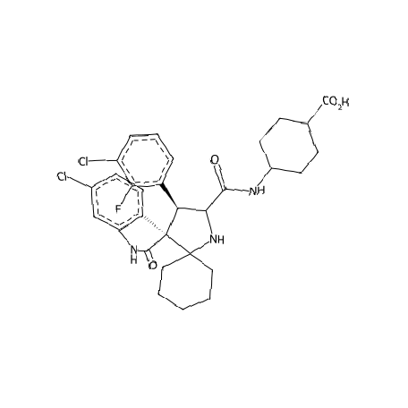 O=C(O)C1CCC(NC(=O)C2NC3(CCCCC3)[C@@]3(C(=O)Nc4cc(Cl)ccc43)[C@H]2c2cccc(Cl)c2F)CC1